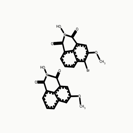 COc1cc2c3c(cccc3c1)C(=O)N(O)C2=O.COc1cc2c3c(cccc3c1Br)C(=O)N(O)C2=O